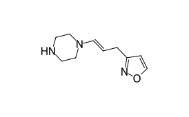 C(=CN1CCNCC1)Cc1ccon1